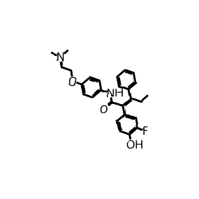 CCC(=C(C(=O)Nc1ccc(OCCN(C)C)cc1)c1ccc(O)c(F)c1)c1ccccc1